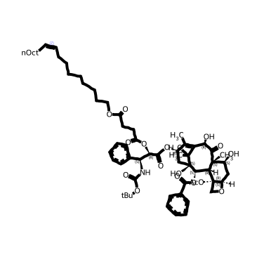 CCCCCCCC/C=C\CCCCCCCCOC(=O)CCC(=O)O[C@@H](C(=O)O[C@H]1C[C@@]2(O)[C@@H](OC(=O)c3ccccc3)[C@@H]3[C@]4(OC(C)=O)CO[C@@H]4C[C@H](O)[C@@]3(C)C(=O)[C@H](O)C(=C1C)C2(C)C)[C@@H](NC(=O)OC(C)(C)C)c1ccccc1